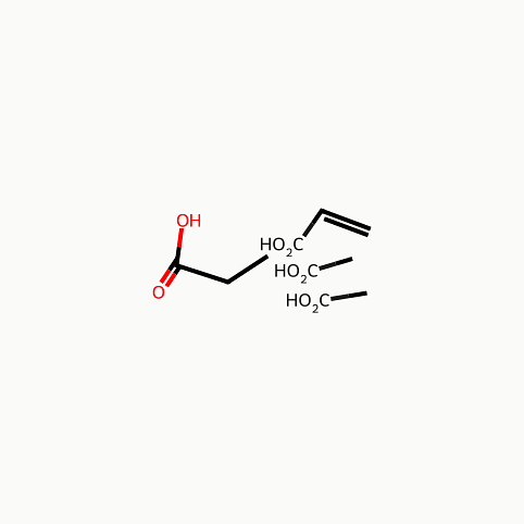 C=CC(=O)O.CC(=O)O.CC(=O)O.CCC(=O)O